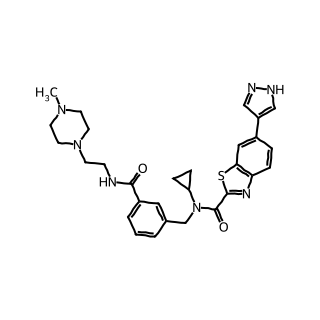 CN1CCN(CCNC(=O)c2cccc(CN(C(=O)c3nc4ccc(-c5cn[nH]c5)cc4s3)C3CC3)c2)CC1